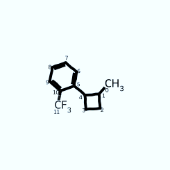 CC1CCC1c1ccccc1C(F)(F)F